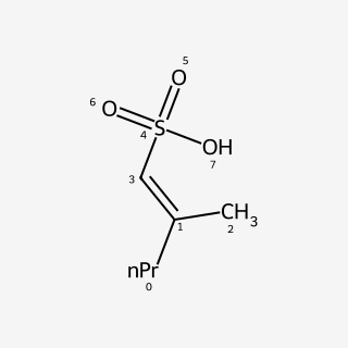 CCCC(C)=CS(=O)(=O)O